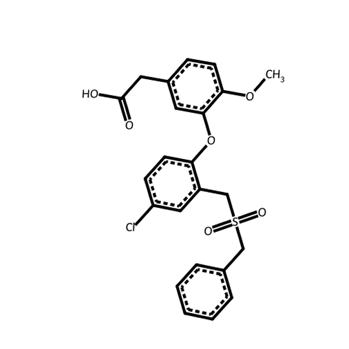 COc1ccc(CC(=O)O)cc1Oc1ccc(Cl)cc1CS(=O)(=O)Cc1ccccc1